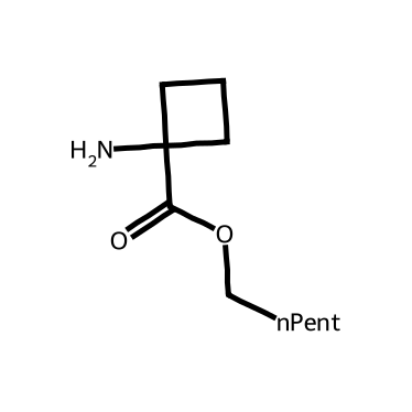 CCCCCCOC(=O)C1(N)CCC1